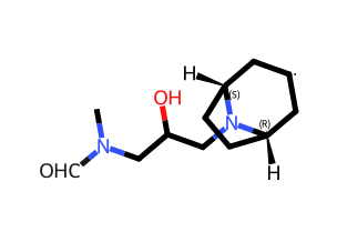 CN(C=O)CC(O)CN1[C@@H]2C[CH]C[C@H]1CC2